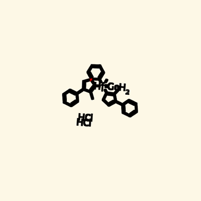 CC1=[C]([Hf]([CH3])(=[GeH2])([C]2=C(C)C(c3ccccc3)=CC2)[c]2ccccc2)CC=C1c1ccccc1.Cl.Cl